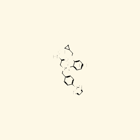 Cl.O=C(CN(Cc1ccc(-n2nccn2)cc1)S(=O)(=O)c1ccccc1OCC1CC1)NO